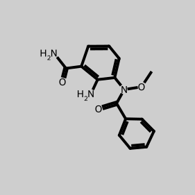 CON(C(=O)c1ccccc1)c1cccc(C(N)=O)c1N